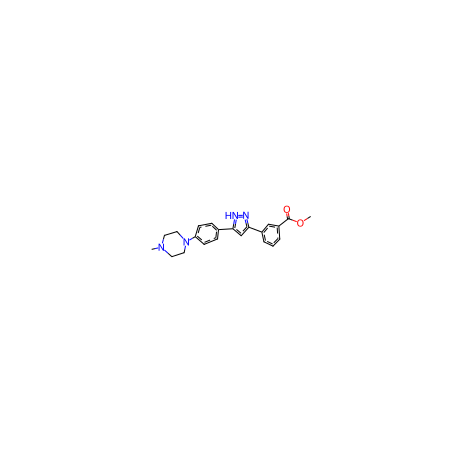 COC(=O)c1cccc(-c2cc(-c3ccc(N4CCN(C)CC4)cc3)[nH]n2)c1